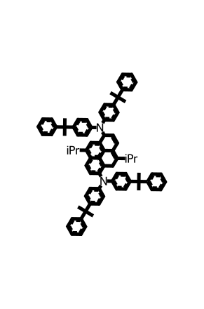 CC(C)C1=C2C=CC(N(c3ccc(C(C)(C)c4ccccc4)cc3)c3ccc(C(C)(C)c4ccccc4)cc3)c3cc(C(C)C)c4ccc(N(c5ccc(C(C)(C)c6ccccc6)cc5)c5ccc(C(C)(C)c6ccccc6)cc5)c(c4c32)C1